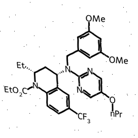 CCCOc1cnc(N(Cc2cc(OC)cc(OC)c2)[C@H]2C[C@@H](CC)N(C(=O)OCC)c3ccc(C(F)(F)F)cc32)nc1